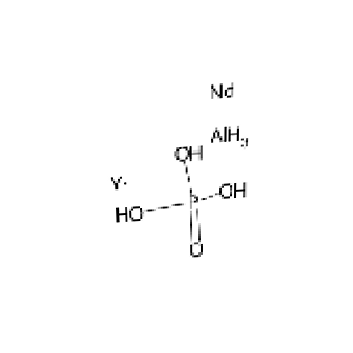 O=P(O)(O)O.[AlH3].[Nd].[Y]